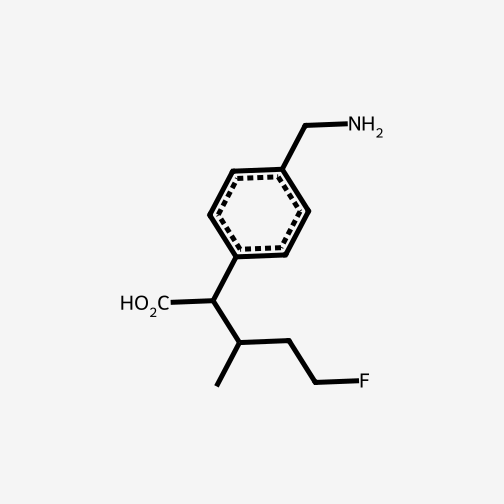 CC(CCF)C(C(=O)O)c1ccc(CN)cc1